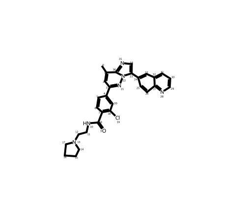 Cc1cc(-c2ccc(C(=O)NCCN3CCCC3)c(Cl)c2)nn2c(-c3ccc4ncccc4c3)cnc12